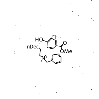 CCCCCCCCCCCC[N+](C)(C)Cc1ccccc1.COC(=O)c1ccc(O)cc1.[Cl-]